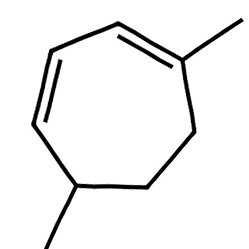 CC1=CC=CC(C)CC1